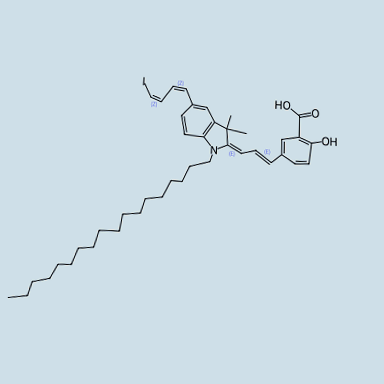 CCCCCCCCCCCCCCCCCCN1/C(=C/C=C/c2ccc(O)c(C(=O)O)c2)C(C)(C)c2cc(/C=C\C=C/I)ccc21